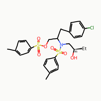 CC[C@@H](O)CN(C(COS(=O)(=O)c1ccc(C)cc1)Cc1ccc(Cl)cc1)S(=O)(=O)c1ccc(C)cc1